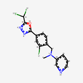 CN(Cc1ccc(-c2nnc(C(F)F)o2)cc1F)c1cccnc1